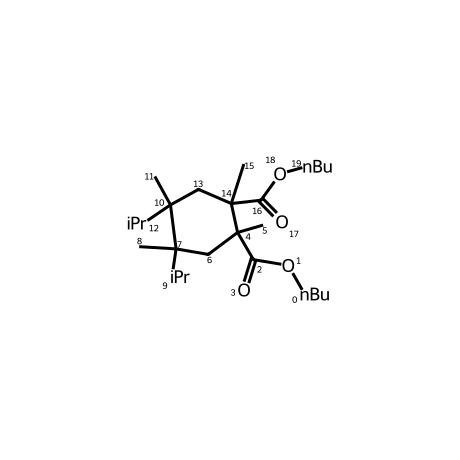 CCCCOC(=O)C1(C)CC(C)(C(C)C)C(C)(C(C)C)CC1(C)C(=O)OCCCC